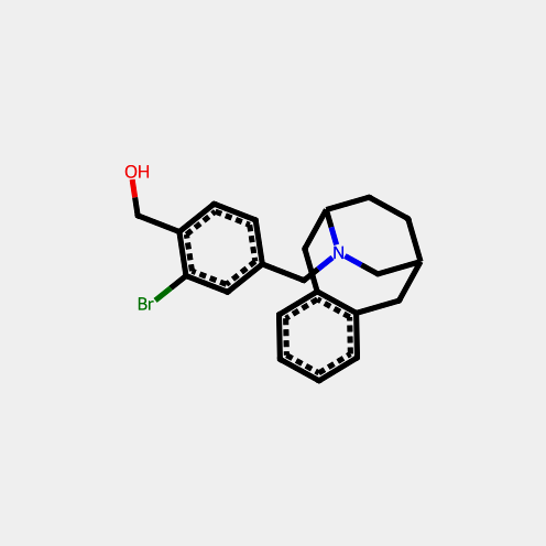 OCc1ccc(CN2CC3CCC2Cc2ccccc2C3)cc1Br